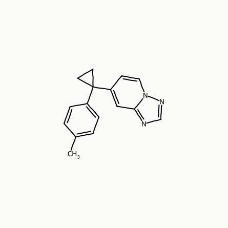 Cc1ccc(C2(c3ccn4ncnc4c3)CC2)cc1